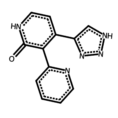 O=c1[nH]ccc(-c2c[nH]nn2)c1-c1ccccn1